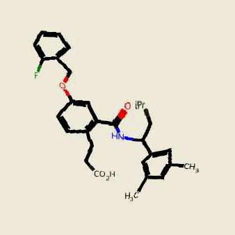 Cc1cc(C)cc(C(CC(C)C)NC(=O)c2cc(OCc3ccccc3F)ccc2CCC(=O)O)c1